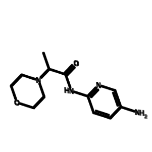 CC(C(=O)Nc1ccc(N)cn1)N1CCOCC1